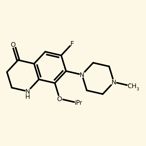 CC(C)Oc1c2c(cc(F)c1N1CCN(C)CC1)C(=O)CCN2